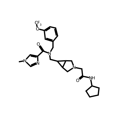 Cn1cnc(C(=O)N(Cc2cccc(OC(F)(F)F)c2)CC2C3CN(CC(=O)NC4CCCC4)CC32)c1